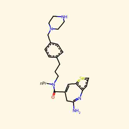 CCCN(CCCc1ccc(CN2CCNCC2)cc1)C(=O)C1=Cc2sccc2N=C(N)C1